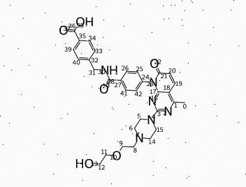 Cc1nc(N2CCN(CCOCCO)CC2)nc2c1ccc(=O)n2-c1ccc(C(=O)NCc2ccc(C(=O)O)cc2)cc1